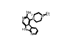 CCN1CCN(c2c(N)ncc3[nH]c4ncccc4c23)CC1